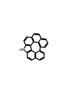 c1cc2c3c(c1)ccc1ccc4[nH]c5ccc6cccc-2c6c5c4c13